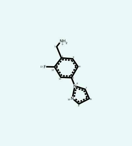 NCc1ccc(-n2cccn2)cc1F